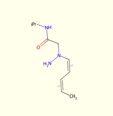 C/C=C\C=C/N(N)CC(=O)NC(C)C